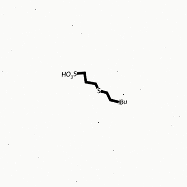 CCC(C)CCSCCCS(=O)(=O)O